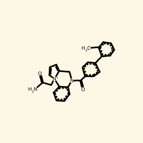 Cc1ccccc1-c1ccc(C(=O)N2CC3=CC=C[N+]3(CC(N)=O)c3ccccc32)cc1